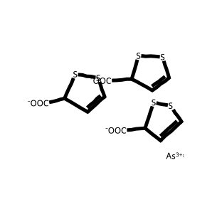 O=C([O-])C1C=CSS1.O=C([O-])C1C=CSS1.O=C([O-])C1C=CSS1.[As+3]